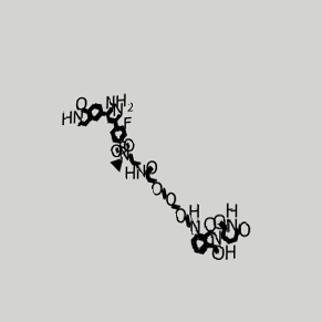 Nc1ncc(-c2ccc(S(=O)(=O)N(CCCNC(=O)CCOCCOCCOCCNc3cccc4c3C(=O)N(C3CCC(=O)NC3=O)C4O)C3CC3)cc2F)cc1-c1ccc2c(c1)CCNC2=O